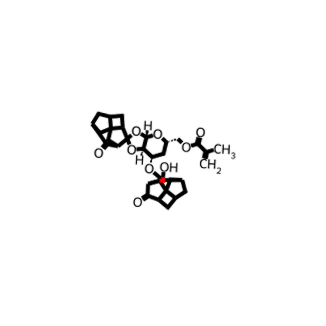 C=C(C)C(=O)OC[C@@H]1C[C@H](OC2(O)C3CC4CC5C(=O)C2CC45C3)[C@H]2OC3(O[C@@H]2O1)C1CC24CC(CC2CC43)C1=O